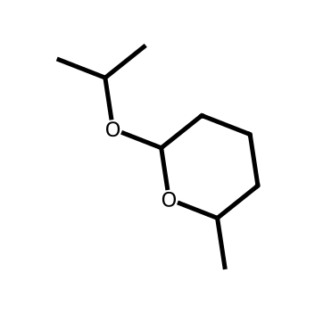 CC(C)OC1CCCC(C)O1